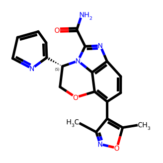 Cc1noc(C)c1-c1ccc2nc(C(N)=O)n3c2c1OC[C@@H]3c1ccccn1